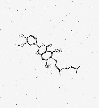 CC(C)=CCCC(C)=CCc1c(O)cc2c(c1O)C(=O)CC(c1ccc(O)c(O)c1)O2